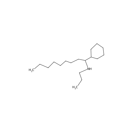 CCCCCCCCC(NCCC)C1CCCCC1